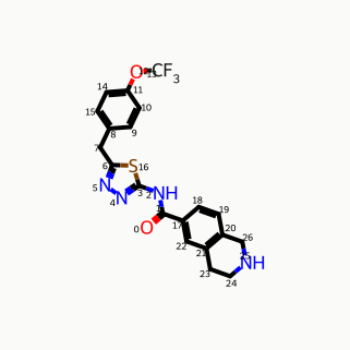 O=C(Nc1nnc(Cc2ccc(OC(F)(F)F)cc2)s1)c1ccc2c(c1)CCNC2